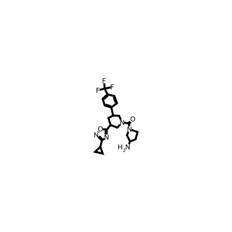 NC1CCN(C(=O)N2CC(c3ccc(C(F)(F)F)cc3)CC(c3nc(C4CC4)no3)C2)C1